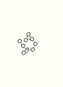 c1ccc(-c2ccc(-c3nc(-c4cccc(-c5cccc(-c6ccc7c8ccccc8c8ccccc8c7c6)c5)c4)cc4ccccc34)cc2)cc1